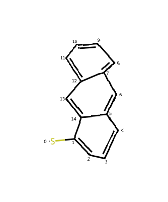 [S]c1cccc2cc3ccccc3cc12